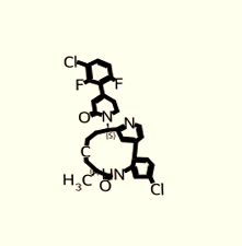 C[C@@H]1CCCC[C@H](N2CCC(c3c(F)ccc(Cl)c3F)=CC2=O)c2cc(ccn2)-c2ccc(Cl)cc2NC1=O